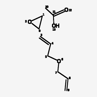 C1CO1.C=CCOCC=C.CC(=O)O